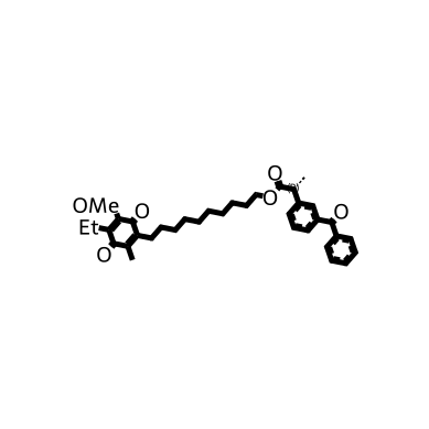 CCC1=C(OC)C(=O)C(CCCCCCCCCCOC(=O)[C@H](C)c2cccc(C(=O)c3ccccc3)c2)=C(C)C1=O